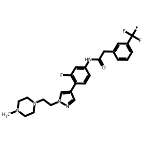 CN1CCN(CCn2cc(-c3ccc(NC(=O)Cc4cccc(C(F)(F)F)c4)cc3F)cn2)CC1